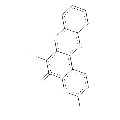 O=C(O)c1ccc2c3nc4ccccc4oc-3c(O)c(=O)c2n1